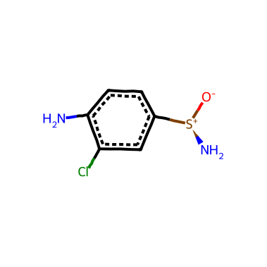 Nc1ccc([S@+](N)[O-])cc1Cl